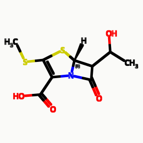 CSC1=C(C(=O)O)N2C(=O)C(C(C)O)[C@H]2S1